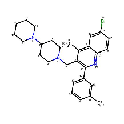 O=C(O)c1c(CN2CCC(N3CCCCC3)CC2)c(-c2cccc(C(F)(F)F)c2)nc2ccc(Br)cc12